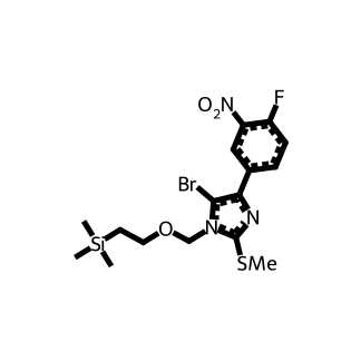 CSc1nc(-c2ccc(F)c([N+](=O)[O-])c2)c(Br)n1COCC[Si](C)(C)C